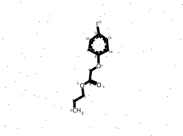 CCCOC(=O)COc1ccc(I)cc1